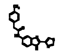 Cc1ccc(CC(=O)Nc2ccc3[nH]c(-c4cscn4)nc3c2)cc1